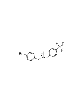 FC(F)(F)c1ccc(CNCc2ccc(Br)cc2)cc1